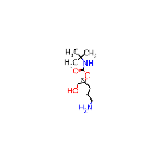 CC(C)(C)NC(=O)O[C@H](CO)CCCN